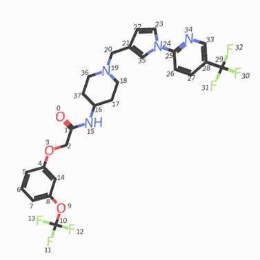 O=C(COc1cccc(OC(F)(F)F)c1)NC1CCN(Cc2ccn(-c3ccc(C(F)(F)F)cn3)c2)CC1